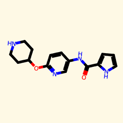 O=C(Nc1ccc(OC2CCNCC2)nc1)c1ccc[nH]1